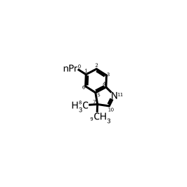 CCCc1ccc2c(c1)C(C)(C)C=N2